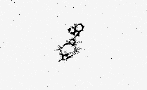 O=[P@@]1(O)OC[C@H]2O[C@@H](I)[C@H](O[P@@](=O)(S)OC[C@H]3O[C@@H](n4cc5c6c(ncnc64)NCCC5)[C@H](O)[C@@H]3O1)[C@@H]2O